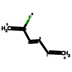 C=CC=CC(=C)F